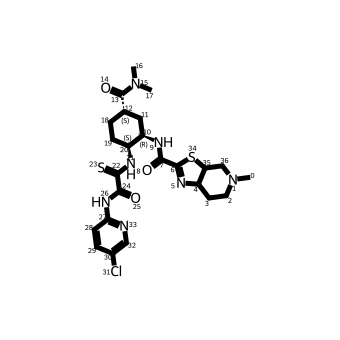 CN1CCC2N=C(C(=O)N[C@@H]3C[C@@H](C(=O)N(C)C)CC[C@@H]3NC(=S)C(=O)Nc3ccc(Cl)cn3)SC2C1